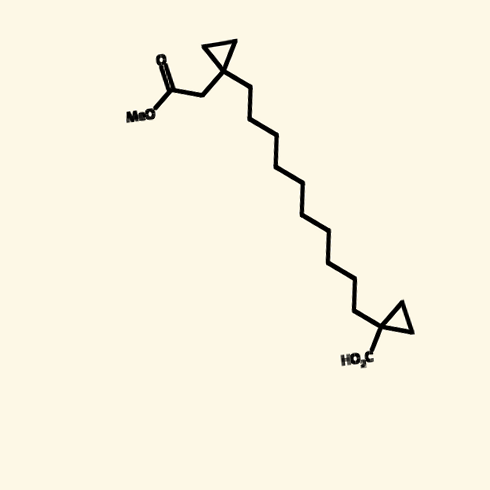 COC(=O)CC1(CCCCCCCCCCC2(C(=O)O)CC2)CC1